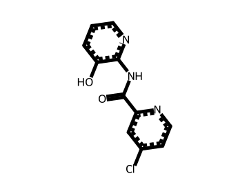 O=C(Nc1ncccc1O)c1cc(Cl)ccn1